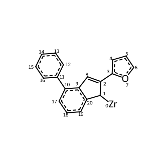 [Zr][CH]1C(c2ccco2)=Cc2c(-c3ccccc3)cccc21